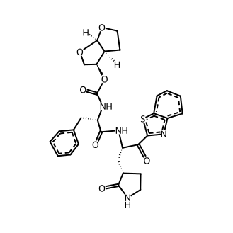 O=C(N[C@@H](Cc1ccccc1)C(=O)N[C@@H](C[C@@H]1CCNC1=O)C(=O)c1nc2ccccc2s1)O[C@H]1CO[C@H]2OCC[C@H]21